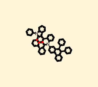 c1ccc(-c2c(-c3ccccc3)c3cc(N(c4ccccc4-c4cccc5c4c4ccccc4n5-c4ccccc4)c4cc5ccccc5c5ccccc45)ccc3c3ccccc23)cc1